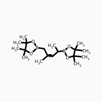 C/C(=C/C(C)B1OC(C)(C)C(C)(C)O1)CB1OC(C)(C)C(C)(C)O1